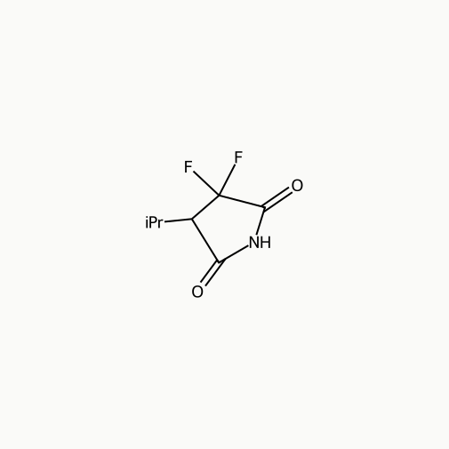 CC(C)C1C(=O)NC(=O)C1(F)F